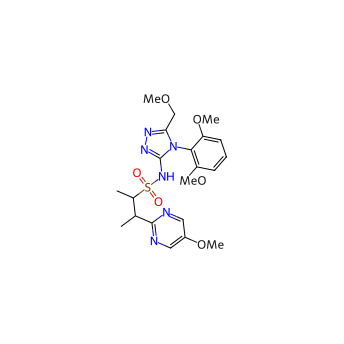 COCc1nnc(NS(=O)(=O)C(C)C(C)c2ncc(OC)cn2)n1-c1c(OC)cccc1OC